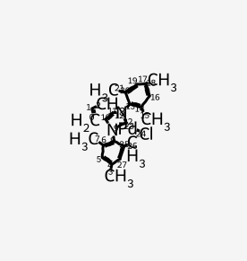 C=CC.Cc1cc(C)c(N2C=CN(c3c(C)cc(C)cc3C)[CH]2[Pd][Cl])c(C)c1